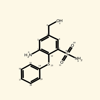 Nc1cc(CO)cc(S(N)(=O)=O)c1Sc1ccccc1